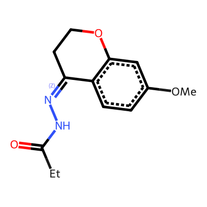 CCC(=O)N/N=C1/CCOc2cc(OC)ccc21